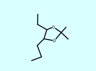 CCCC1OC(C)(C)OC1CC